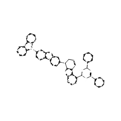 C1=Cc2c(oc3cccc(C4NC(c5ccccc5)=NC(c5ccccc5)N4)c23)C(c2ccc3c(c2)sc2cc(-n4c5ccccc5c5ccccc54)ccc23)C1